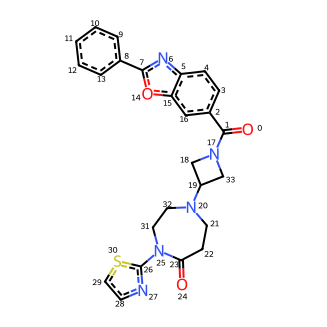 O=C(c1ccc2nc(-c3ccccc3)oc2c1)N1CC(N2CCC(=O)N(c3nccs3)CC2)C1